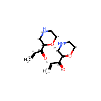 C=CC(=O)C1CNCCO1.C=CC(=O)C1CNCCO1